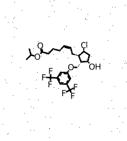 CC(C)OC(=O)CCC/C=C\C[C@@H]1[C@@H](COc2cc(C(F)(F)F)cc(C(F)(F)F)c2)[C@H](O)C[C@@H]1Cl